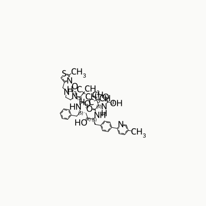 Cc1ccc(-c2ccc(C[C@H](NC(=O)[C@@H](NC(=O)O)C(C)(C)C)[C@H](O)C[C@H](Cc3ccccc3)NC(=O)[C@@H](N3CCN(Cc4csc(C)n4)C3=O)C(C)(C)C)cc2)nc1